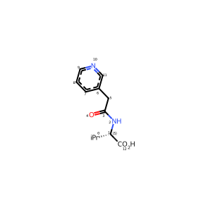 CC(C)[C@H](NC(=O)Cc1cccnc1)C(=O)O